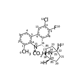 Cc1cccc(-c2ccc(F)c(Cl)c2)c1N(C[C@H]1C[C@H]2CC[C@@H](C1)N2)C(=O)O